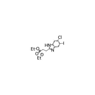 CCOP(=O)(CCc1nc2cc(I)c(Cl)cc2[nH]1)OCC